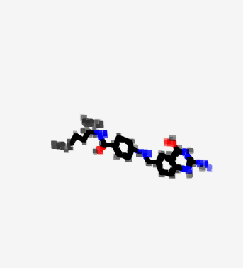 CCOC(=O)CC[C@@H](NC(=O)c1ccc(NCc2ccc3nc(N)nc(O)c3c2)cc1)C(=O)OCC